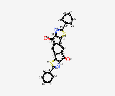 O=c1c2cc3c(cc2c2sc(-c4ccccc4)nc12)c(=O)c1nc(-c2ccccc2)sc13